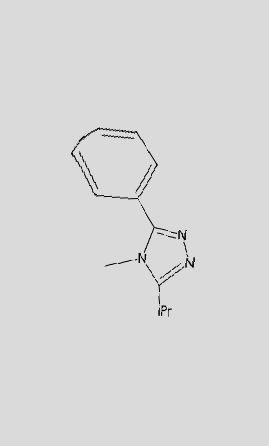 CC(C)c1nnc(-c2ccccc2)n1C